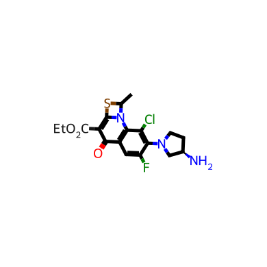 CCOC(=O)c1c2n(c3c(Cl)c(N4CC[C@@H](N)C4)c(F)cc3c1=O)C(C)S2